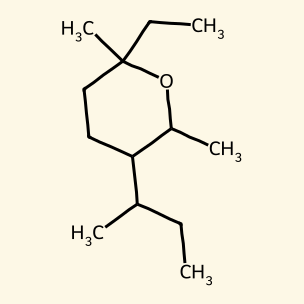 CCC(C)C1CCC(C)(CC)OC1C